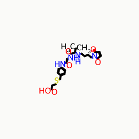 CC(C)[C@H](NCCCCN1C(=O)C=CC1=O)C(=O)NCC(=O)Nc1ccc(CSCCC(=O)O)cc1